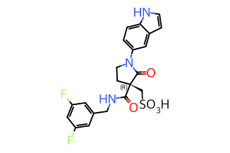 O=C(NCc1cc(F)cc(F)c1)[C@]1(CS(=O)(=O)O)CCN(c2ccc3[nH]ccc3c2)C1=O